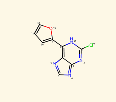 Clc1nc2ncnc-2c(-c2ccco2)[nH]1